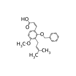 COc1ccc(/C=C\C(=O)O)c(OCc2ccccc2)c1CC=C(C)C